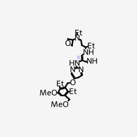 CCc1c(COC)cc(OC)c(CC)c1COC1=CN=C(N/C(C=N)=C/NC(CC)CCN(CC)C2COC2)N=CC1